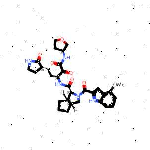 COc1cccc2[nH]c(C(=O)N3C[C@@H]4CCC[C@@H]4[C@H]3C(=O)N[C@@H](CC[C@@H]3CCNC3=O)C(=O)C(=O)N[C@H]3CCOC3)cc12